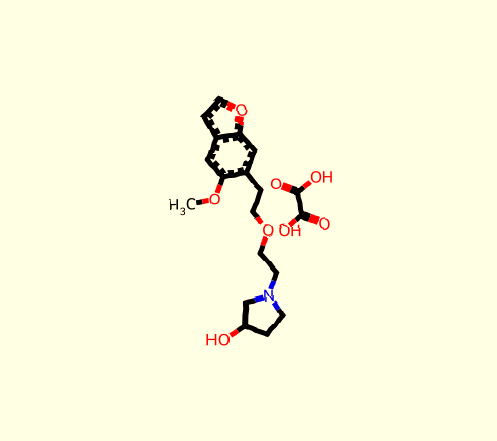 COc1cc2ccoc2cc1CCOCCN1CCC(O)C1.O=C(O)C(=O)O